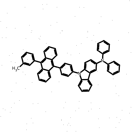 Cc1cccc(-c2c3ccccc3c(-c3ccc(-n4c5ccccc5c5cc(N(c6ccccc6)c6ccccc6)ccc54)cc3)c3ccccc23)c1